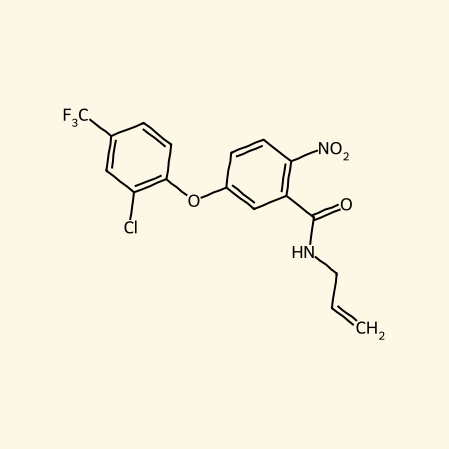 C=CCNC(=O)c1cc(Oc2ccc(C(F)(F)F)cc2Cl)ccc1[N+](=O)[O-]